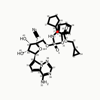 N#C[C@]1(COP(=O)(NC(C(=O)OCC2CC2)C2CCCC2)Oc2ccccc2)O[C@@H](c2ccc3c(N)ncnn23)[C@H](O)[C@@H]1O